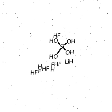 F.F.F.F.F.F.O[Si](O)(O)O.[LiH]